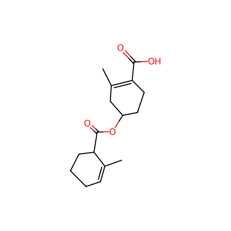 CC1=CCCCC1C(=O)OC1CCC(C(=O)O)=C(C)C1